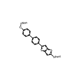 CCCCCCCCCOc1ccc(-c2ccc(-c3cc4sc(CCCCC)cc4s3)cc2)cc1